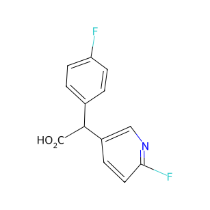 O=C(O)C(c1ccc(F)cc1)c1ccc(F)nc1